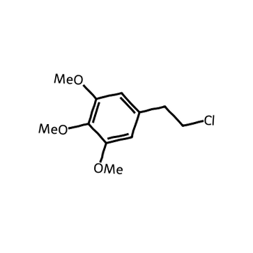 COc1cc(CCCl)cc(OC)c1OC